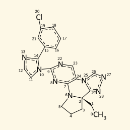 CC[C@@]12CCCN1c1nc(-n3ccnc3-c3cccc(Cl)c3)ncc1-n1cnnc12